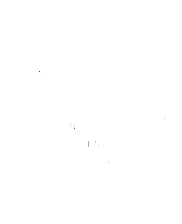 Cc1c(Cl)cccc1S(=O)(=O)Nc1nc(CC(=O)N(C)[C@@H](C)c2ccccc2)cs1